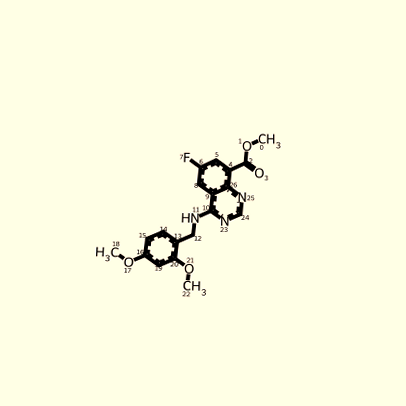 COC(=O)c1cc(F)cc2c(NCc3ccc(OC)cc3OC)ncnc12